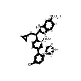 CO[n+]1cc(-c2cc(Cl)ccc2-n2cnnn2)ccc1C(CC1CC1)c1nc2ccc(C(=O)O)cc2[nH]1